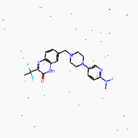 CN(F)c1ccc(N2CCN(Cc3ccc4nc(C(C)(F)F)c(=O)[nH]c4c3)CC2)cn1